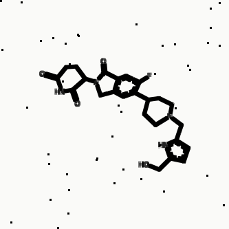 O=C1CCC(N2Cc3cc(C4CCN(Cc5ccc(CO)[nH]5)CC4)c(F)cc3C2=O)C(=O)N1